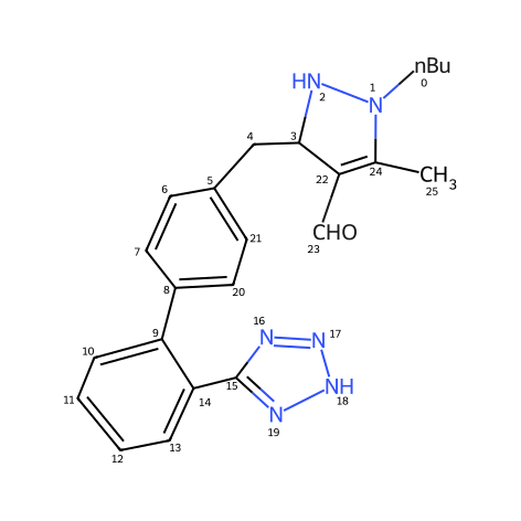 CCCCN1NC(Cc2ccc(-c3ccccc3-c3nn[nH]n3)cc2)C(C=O)=C1C